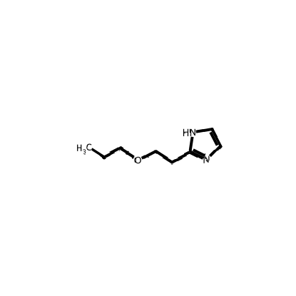 CCCOCCc1ncc[nH]1